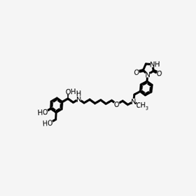 CN(CCOCCCCCCNC[C@H](O)c1ccc(O)c(CO)c1)Cc1cccc(N2C(=O)CNC2=O)c1